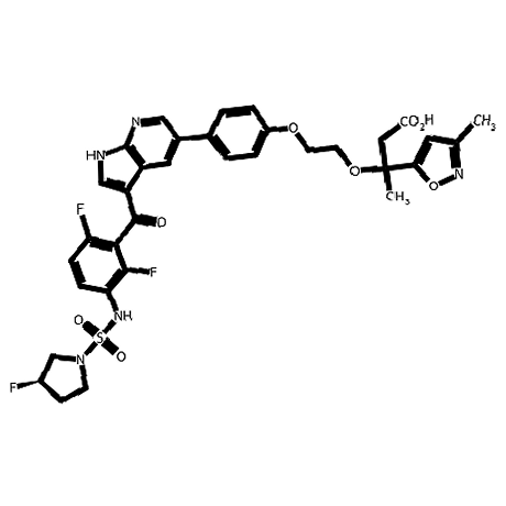 Cc1cc(C(C)(CC(=O)O)OCCOc2ccc(-c3cnc4[nH]cc(C(=O)c5c(F)ccc(NS(=O)(=O)N6CC[C@@H](F)C6)c5F)c4c3)cc2)on1